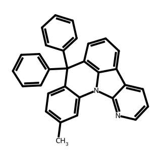 Cc1ccc2c(c1)-n1c3ncccc3c3cccc(c31)C2(c1ccccc1)c1ccccc1